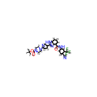 CC(C)(C)OC(=O)N1CCN(c2ccc(-c3nc4c(C(=O)Nc5ccc(C#N)c(C(F)(F)F)c5)cccc4[nH]3)cn2)CC1